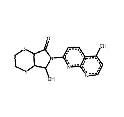 Cc1ccnc2nc(N3C(=O)C4SCCSC4C3O)ccc12